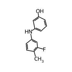 Cc1ccc(Nc2cccc(O)c2)cc1F